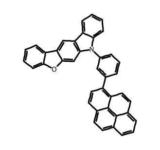 c1cc(-c2ccc3ccc4cccc5ccc2c3c45)cc(-n2c3ccccc3c3cc4c(cc32)oc2ccccc24)c1